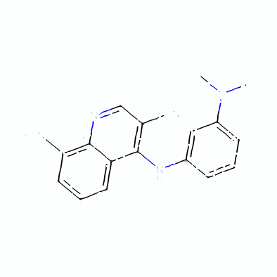 CN(C)c1cccc(Nc2c(C#N)cnc3c([N+](=O)[O-])cccc23)c1